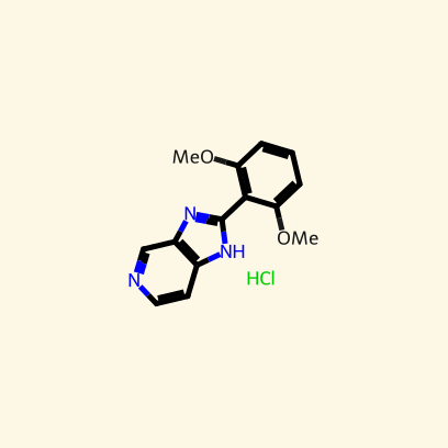 COc1cccc(OC)c1-c1nc2cnccc2[nH]1.Cl